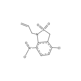 C=CCN1c2c([N+](=O)[O-])ccc(Cl)c2CS1(=O)=O